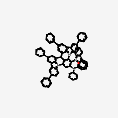 c1ccc(-c2ccc3c(c2)c2cc(-c4ccccc4)cc4c2n3-c2cc(N(c3ccccc3)c3ccccc3)c(-n3c5ccccc5c5ccccc53)c3c2C4c2cc(-c4ccccc4)cc4c5cc(-c6ccccc6)ccc5n-3c24)cc1